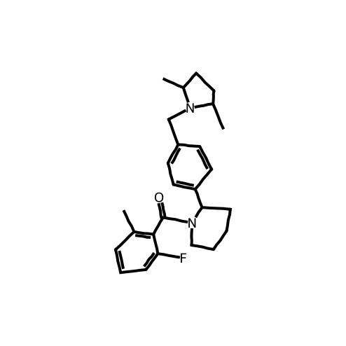 Cc1cccc(F)c1C(=O)N1CCCCC1c1ccc(CN2C(C)CCC2C)cc1